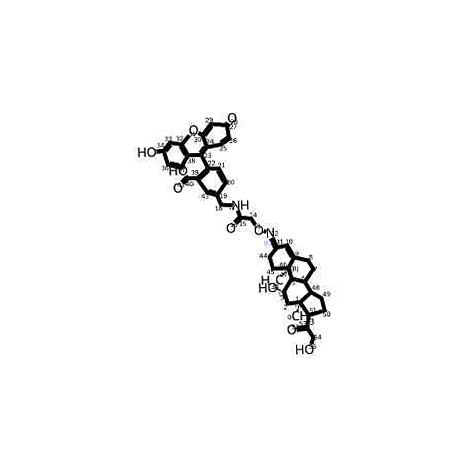 C[C@]12C[C@H](O)C3C(CCC4=C/C(=N/OCC(=O)NCc5ccc(-c6c7ccc(=O)cc-7oc7cc(O)ccc67)c(C(=O)O)c5)CC[C@@]43C)C1CCC2C(=O)CO